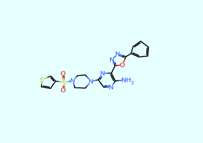 Nc1ncc(N2CCN(S(=O)(=O)c3ccsc3)CC2)nc1-c1nnc(-c2ccccc2)o1